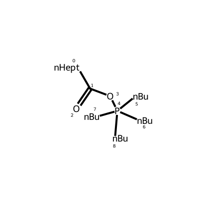 CCCCCCCC(=O)OP(CCCC)(CCCC)(CCCC)CCCC